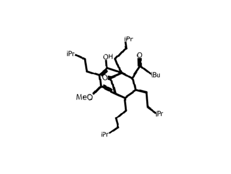 CCC(C)C(=O)C1C(CCC(C)C)C(CCCC(C)C)C2=C(OC)C(CCC(C)C)=C(O)C1(CCC(C)C)C2=O